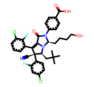 CC(C)(C)C[C@@H]1N2C(=C(c3cccc(Cl)c3F)[C@@]1(C#N)c1ccc(Cl)cc1F)C(=O)N(c1ccc(C(=O)O)cc1)[C@H]2CCCCO